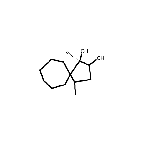 CC1CC(O)[C@](C)(O)C12CCCCCC2